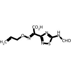 C=CCON=C(C(=O)O)c1nsc(NC=O)n1